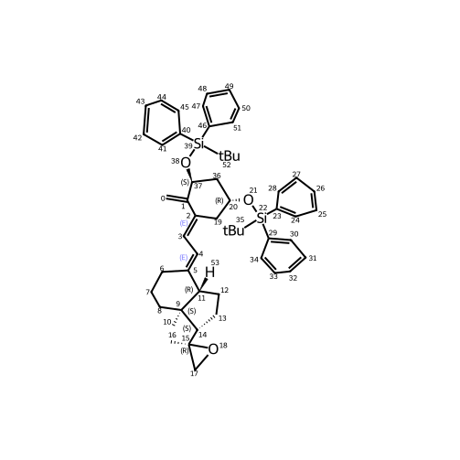 C=C1/C(=C/C=C2\CCC[C@@]3(C)[C@H]2CC[C@@H]3[C@]2(C)CO2)C[C@@H](O[Si](c2ccccc2)(c2ccccc2)C(C)(C)C)C[C@@H]1O[Si](c1ccccc1)(c1ccccc1)C(C)(C)C